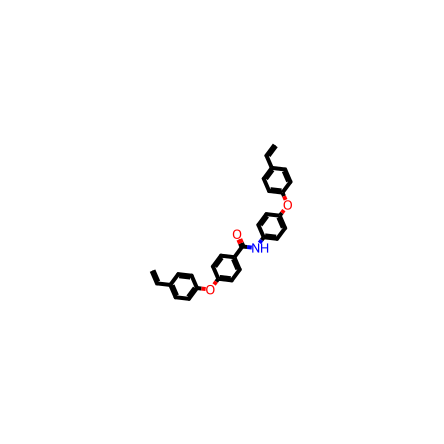 C=Cc1ccc(Oc2ccc(NC(=O)c3ccc(Oc4ccc(C=C)cc4)cc3)cc2)cc1